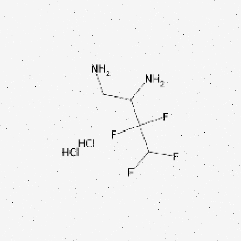 Cl.Cl.NCC(N)C(F)(F)C(F)F